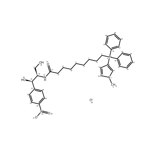 Cn1cc([P+](CCCCCCCCC(=O)N[C@H](CO)[C@H](O)c2ccc([N+](=O)[O-])cc2)(c2ccccc2)c2ccccc2)cn1.[Cl-]